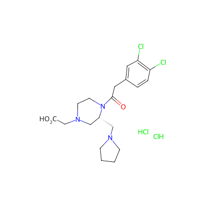 Cl.Cl.O=C(O)CN1CCN(C(=O)Cc2ccc(Cl)c(Cl)c2)[C@H](CN2CCCC2)C1